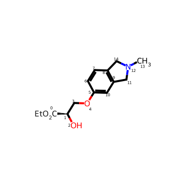 CCOC(=O)[C@H](O)COc1ccc2c(c1)CN(C)C2